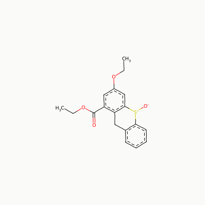 CCOC(=O)c1cc(OCC)cc2c1Cc1ccccc1[S+]2[O-]